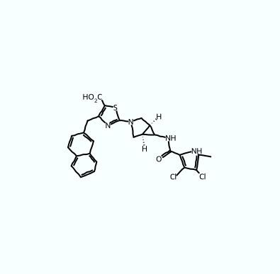 Cc1[nH]c(C(=O)NC2[C@H]3CN(c4nc(Cc5ccc6ccccc6c5)c(C(=O)O)s4)C[C@@H]23)c(Cl)c1Cl